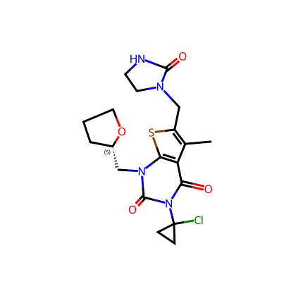 Cc1c(CN2CCNC2=O)sc2c1c(=O)n(C1(Cl)CC1)c(=O)n2C[C@@H]1CCCO1